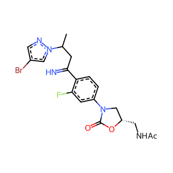 CC(=O)NC[C@H]1CN(c2ccc(C(=N)CC(C)n3cc(Br)cn3)c(F)c2)C(=O)O1